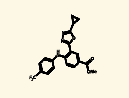 COC(=O)c1ccc(Nc2ccc(C(F)(F)F)cc2)c(-c2nnc(C3CC3)o2)c1